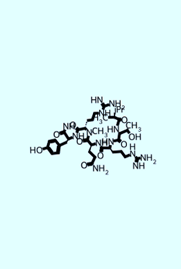 CC(C)[C@H](C)C(=O)N[C@H](C(=O)N[C@@H](CCCNC(=N)N)C(=O)N[C@@H](CCC(N)=O)C(=O)N(C)[C@@H](CCCNC(=N)N)C(=O)N[C@@H](Cc1ccc(O)cc1)C(N)=O)[C@@H](C)O